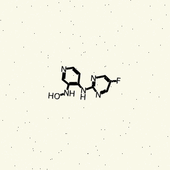 ONc1cnccc1Nc1ncc(F)cn1